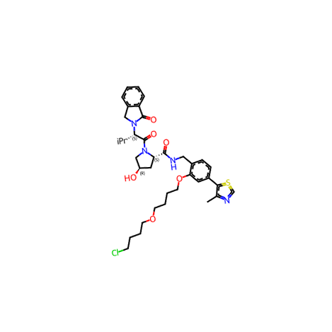 Cc1ncsc1-c1ccc(CNC(=O)[C@@H]2C[C@@H](O)CN2C(=O)[C@H](C(C)C)N2Cc3ccccc3C2=O)c(OCCCCOCCCCCl)c1